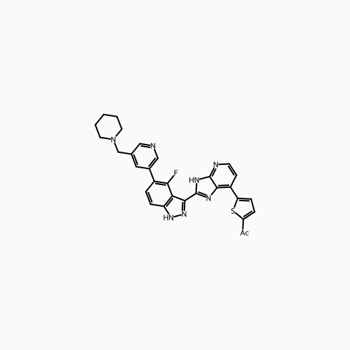 CC(=O)c1ccc(-c2ccnc3[nH]c(-c4n[nH]c5ccc(-c6cncc(CN7CCCCC7)c6)c(F)c45)nc23)s1